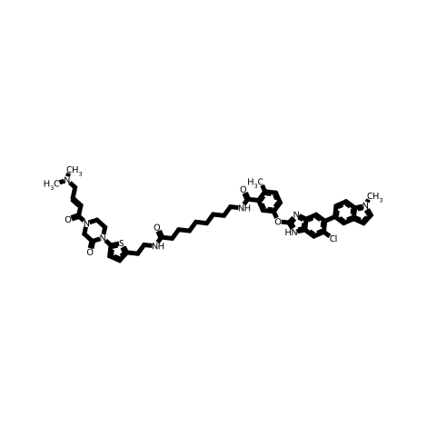 Cc1ccc(Oc2nc3cc(-c4ccc5c(ccn5C)c4)c(Cl)cc3[nH]2)cc1C(=O)NCCCCCCCCC(=O)NCCc1ccc(N2CCN(C(=O)/C=C/CN(C)C)CC2=O)s1